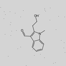 Cn1c(CCO)c(C=O)c2ccccc21